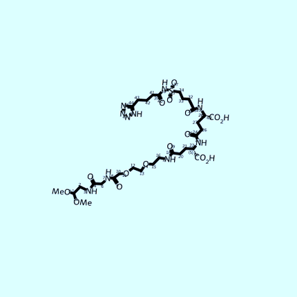 COC(CNC(=O)CNC(=O)COCCOCCNC(=O)CC[C@H](NC(=O)CC[C@H](NC(=O)CCCS(=O)(=O)NC(=O)CCCc1nnn[nH]1)C(=O)O)C(=O)O)OC